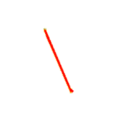 COS(=S)(=S)SSSSSSSSSSSSSSSSSSSSSSSSSSSSSSSSSSSSSSSSSSSSSSSSSSSSSSSSSSSSSSSSSSSSSSSSSS